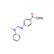 COC(=O)c1ccc(N=CN(C)c2ccccc2)cc1